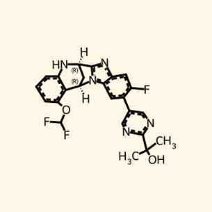 CC(C)(O)c1ncc(-c2cc3c(cc2F)nc2n3[C@@H]3C[C@H]2Nc2cccc(OC(F)F)c23)cn1